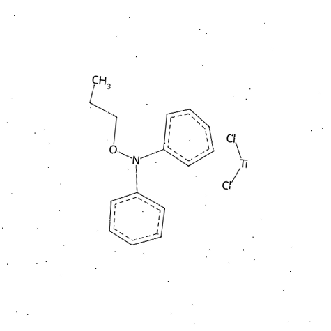 CCCON(c1ccccc1)c1ccccc1.[Cl][Ti][Cl]